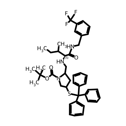 CCC(C)[C@H](NCC1CC(SC(c2ccccc2)(c2ccccc2)c2ccccc2)CN1C(=O)OC(C)(C)C)C(=O)NCc1cccc(C(F)(F)F)c1